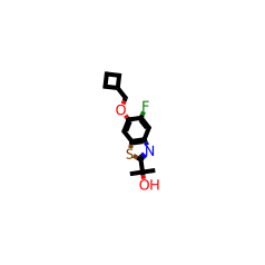 CC(C)(O)c1nc2cc(F)c(OCC3CCC3)cc2s1